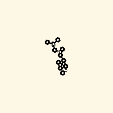 c1ccc(-c2cc(-c3ccccc3)nc(-c3cccc(-n4c5ccccc5c5cc(-c6ccc7c(c6)C6(c8ccccc8-c8ccccc86)c6c-7ccc7c6Oc6ccccc6O7)ccc54)c3)n2)cc1